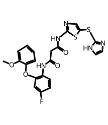 COc1ccccc1Oc1cc(F)ccc1NC(=O)CC(=O)Nc1ncc(Sc2ncc[nH]2)s1